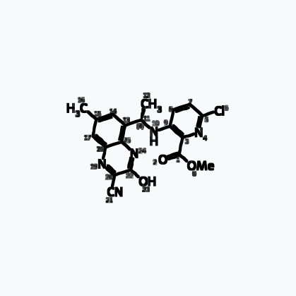 COC(=O)c1nc(Cl)ccc1N[C@H](C)c1cc(C)cc2nc(C#N)c(O)nc12